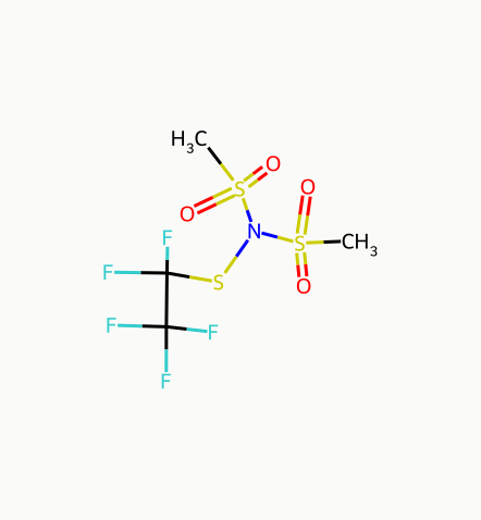 CS(=O)(=O)N(SC(F)(F)C(F)(F)F)S(C)(=O)=O